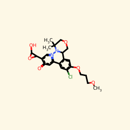 COCCCOc1cc2c(cc1Cl)-c1cc(=O)c(C3OC3O)cn1N1C2COCC1(C)C